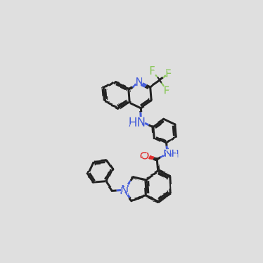 O=C(Nc1cccc(Nc2cc(C(F)(F)F)nc3ccccc23)c1)c1cccc2c1CN(Cc1ccccc1)C2